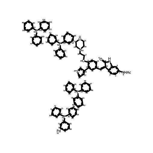 CC(=O)Nc1ccc2c(c1)NC(=O)C2=Cc1ccc(OCCN2CCOCC2)c(-c2ccsc2)c1.[Pd].c1ccc(P(c2ccccc2)c2ccccc2)cc1.c1ccc(P(c2ccccc2)c2ccccc2)cc1.c1ccc(P(c2ccccc2)c2ccccc2)cc1.c1ccc(P(c2ccccc2)c2ccccc2)cc1